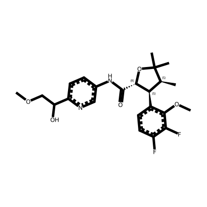 COCC(O)c1ccc(NC(=O)[C@@H]2OC(C)(C)[C@@H](C)[C@H]2c2ccc(F)c(F)c2OC)cn1